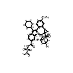 COc1ccc2c(c1)C1CC1(C(=O)N1[C@@H]3C[C@H]1CN(C(C)=O)C3)Cn1c-2c(C2CCCCC2)c2ccc(C(=O)NS(=O)(=O)N(C)C)cc21